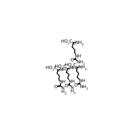 NC(=O)NCCC[C@H](N)C(=O)O.NC(=O)NCCC[C@H](N)C(=O)O.NC(=O)NCCC[C@H](N)C(=O)O.NC(=O)NCCC[C@H](N)C(=O)O